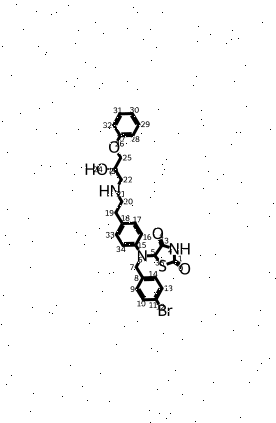 O=C1NC(=O)C(N(Cc2ccc(Br)cc2)c2ccc(CCNC[C@H](O)COc3ccccc3)cc2)S1